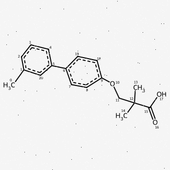 Cc1cccc(-c2ccc(OCC(C)(C)C(=O)O)cc2)c1